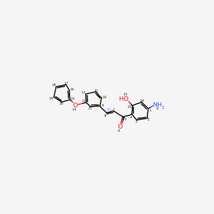 Nc1ccc(C(=O)/C=C/c2cccc(Oc3ccccc3)c2)c(O)c1